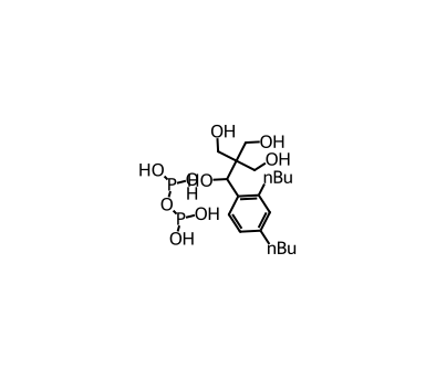 CCCCc1ccc(C(O)C(CO)(CO)CO)c(CCCC)c1.OP(O)OP(O)O